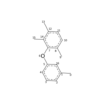 Cc1cccc(Oc2c(C)ccc(C)c2C)c1